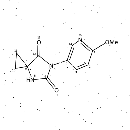 COc1ccc(N2C(=O)NC3(CC3)C2=O)cn1